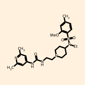 CCN(C1CCN(CCNC(=O)Nc2cc(C)nc(C)c2)CC1)S(=O)(=O)c1ccc(C)cc1OC